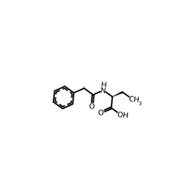 CC[C@H](NC(=O)[CH]c1ccccc1)C(=O)O